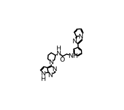 O=C(CNc1cccc(-c2cn3ccccc3n2)c1)N[C@@H]1CCCN(c2ncnc3[nH]ccc23)C1